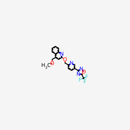 COCc1cc(OCc2ccc(-c3noc(C(F)(F)F)n3)cn2)nc2ccccc12